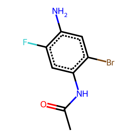 CC(=O)Nc1cc(F)c(N)cc1Br